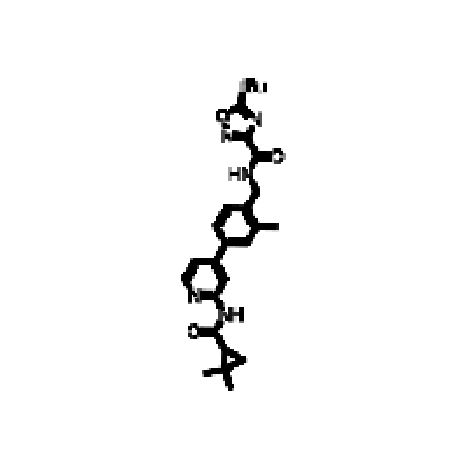 Cc1cc(-c2ccnc(NC(=O)C3CC3(C)C)c2)ccc1CNC(=O)c1noc(C(C)(C)C)n1